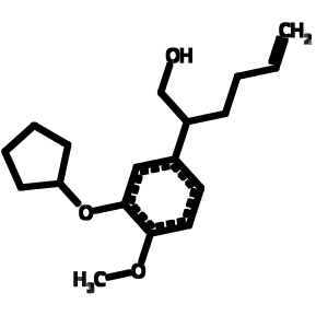 C=CCCC(CO)c1ccc(OC)c(OC2CCCC2)c1